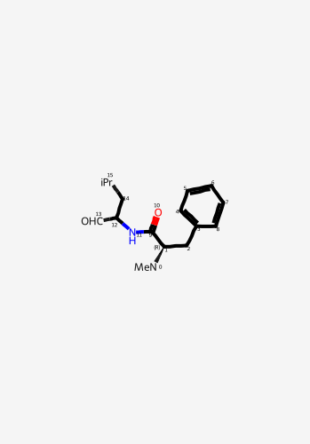 CN[C@H](Cc1ccccc1)C(=O)NC(C=O)CC(C)C